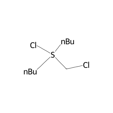 CCCCS(Cl)(CCl)CCCC